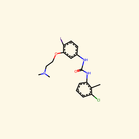 Cc1c(Cl)cccc1NC(=O)Nc1ccc(I)c(OCCN(C)C)c1